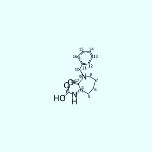 O=C(O)N[C@H]1CCCCN(Cc2ccccc2)C1=O